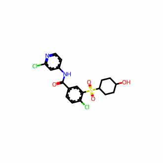 O=C(Nc1ccnc(Cl)c1)c1ccc(Cl)c(S(=O)(=O)C2CCC(O)CC2)c1